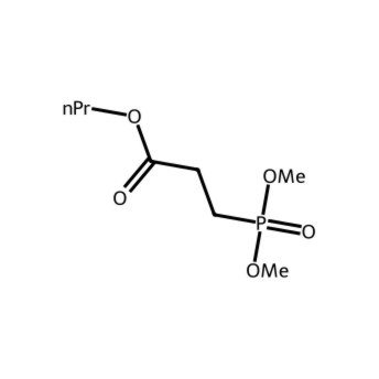 CCCOC(=O)CCP(=O)(OC)OC